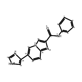 O=C(Nc1ccccc1)c1cn2cc(-c3c[nH]cn3)ccc2n1